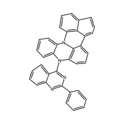 c1ccc(-c2nc(-n3c4cccc5c4-n(c4cccc6cccc5c64)c4ccccc43)c3ccccc3n2)cc1